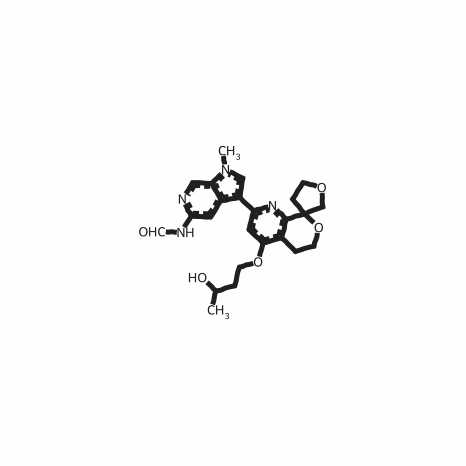 CC(O)CCOc1cc(-c2cn(C)c3cnc(NC=O)cc23)nc2c1CCOC21CCOC1